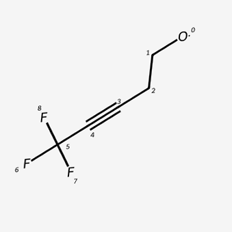 [O]CCC#CC(F)(F)F